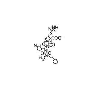 CN(C(=O)C=Cc1ccccc1)C(=O)NC(C(=O)NC1C(=O)N2C(C(=O)[O-])=C(CSc3nc[nH]n3)CS[C@@H]12)c1ccccc1.[Na+]